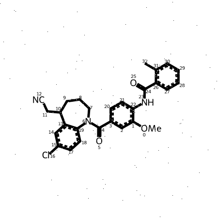 COc1cc(C(=O)N2CCCC(CC#N)c3cc(Cl)ccc32)ccc1NC(=O)c1ccccc1C